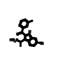 CCc1ccc2c(C(C)C(=O)O)c(C(=O)c3cc(C)ccn3)[nH]c2c1